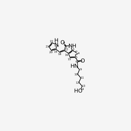 O=C1Nc2sc(C(=O)NCCCCCO)cc2C1=Cc1ccc[nH]1